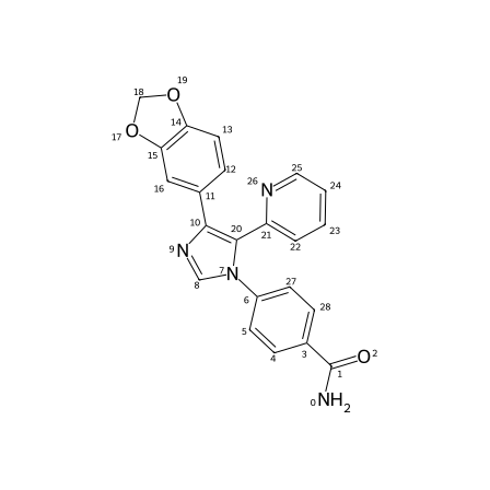 NC(=O)c1ccc(-n2cnc(-c3ccc4c(c3)OCO4)c2-c2ccccn2)cc1